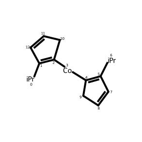 CC(C)C1=[C]([Co][C]2=C(C(C)C)C=CC2)CC=C1